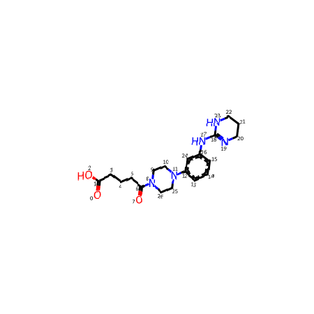 O=C(O)CCCC(=O)N1CCN(c2cccc(NC3=NCCCN3)c2)CC1